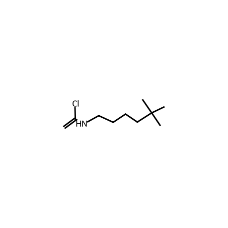 C=C(Cl)NCCCCC(C)(C)C